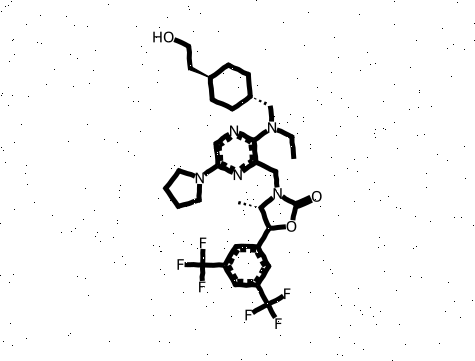 CCN(C[C@H]1CC[C@H](CCO)CC1)c1ncc(N2CCCC2)nc1CN1C(=O)OC(c2cc(C(F)(F)F)cc(C(F)(F)F)c2)[C@@H]1C